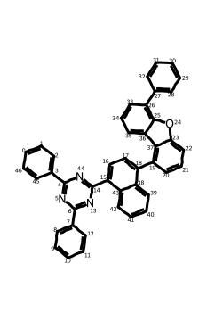 c1ccc(-c2nc(-c3ccccc3)nc(-c3ccc(-c4cccc5oc6c(-c7ccccc7)cccc6c45)c4ccccc34)n2)cc1